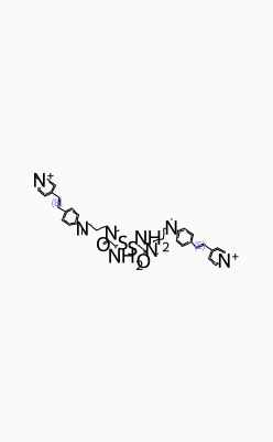 CN(CCCN(C)c1ccc(/C=C/c2cc[n+](C)cc2)cc1)C(=O)C(N)SSC(N)C(=O)N(C)CCCN(C)c1ccc(/C=C/c2cc[n+](C)cc2)cc1